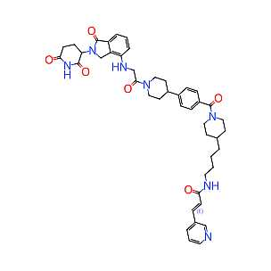 O=C(/C=C/c1cccnc1)NCCCCC1CCN(C(=O)c2ccc(C3CCN(C(=O)CNc4cccc5c4CN(C4CCC(=O)NC4=O)C5=O)CC3)cc2)CC1